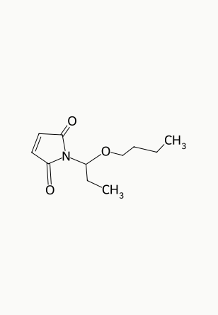 CCCCOC(CC)N1C(=O)C=CC1=O